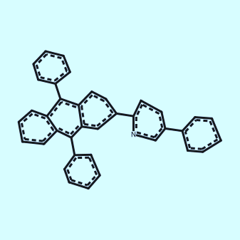 c1ccc(-c2ccc(-c3ccc4c(-c5ccccc5)c5ccccc5c(-c5ccccc5)c4c3)nc2)cc1